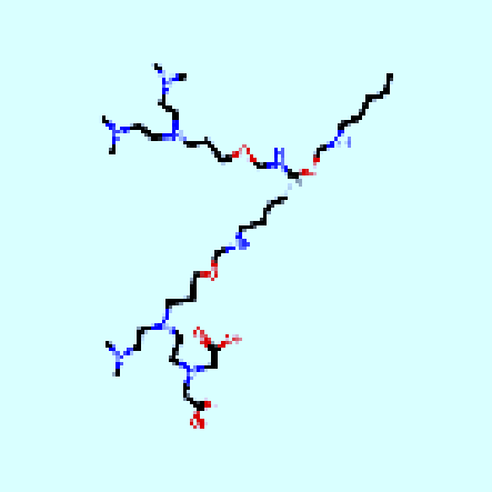 CCCCCNCO[C@H](CCCCNCOCCCN(CCN(C)C)CCN(CC(=O)O)CC(=O)O)NCOCCCN(CCN(C)C)CCN(C)C